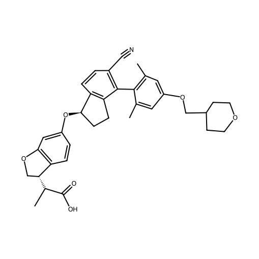 Cc1cc(OCC2CCOCC2)cc(C)c1-c1c(C#N)ccc2c1CC[C@H]2Oc1ccc2c(c1)OC[C@H]2C(C)C(=O)O